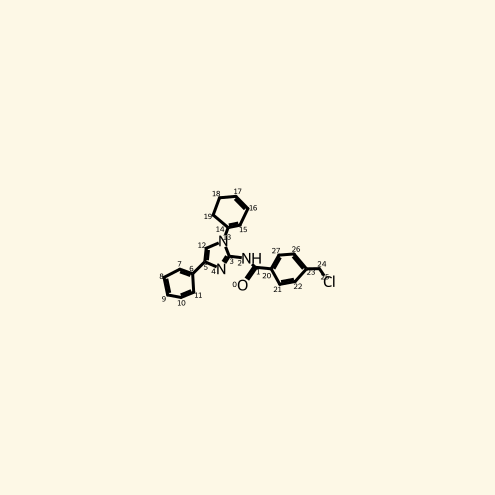 O=C(Nc1nc(-c2ccccc2)cn1C1=CC=CCC1)c1ccc(CCl)cc1